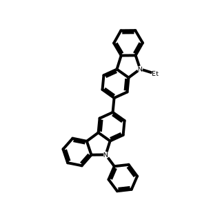 CCn1c2ccccc2c2ccc(-c3ccc4c(c3)c3ccccc3n4-c3ccccc3)cc21